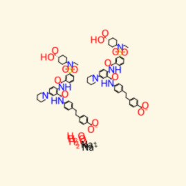 CCN([C@H]1CC[C@H](C(=O)O)CC1)S(=O)(=O)c1cccc(C(=O)Nc2ccc(N3CCCCC3)cc2C(=O)Nc2ccc(CCc3ccc(C(=O)[O-])cc3)cc2)c1.CCN([C@H]1CC[C@H](C(=O)O)CC1)S(=O)(=O)c1cccc(C(=O)Nc2ccc(N3CCCCC3)cc2C(=O)Nc2ccc(CCc3ccc(C(=O)[O-])cc3)cc2)c1.O.O.O.[Na+].[Na+]